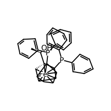 C[C@@H](O)[C@@]12[CH]3[CH]4[CH]5[C]1(P(c1ccccc1)c1ccccc1)[Fe]45321678[CH]2[CH]1[CH]6[C]7(P(c1ccccc1)c1ccccc1)[CH]28